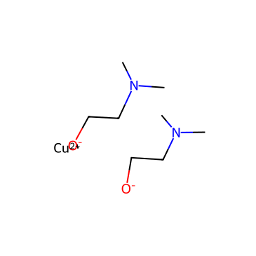 CN(C)CC[O-].CN(C)CC[O-].[Cu+2]